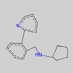 [c]1cccc(-c2ccccn2)c1CNC1CCCC1